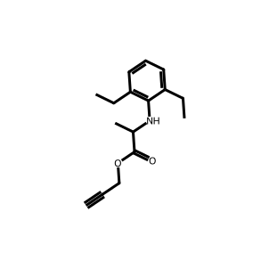 C#CCOC(=O)C(C)Nc1c(CC)cccc1CC